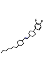 CCCCCCCC1CCC(/C=C/C2CCC(c3ccc(F)c(F)c3)CC2)CC1